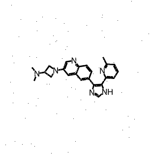 Cc1cccc(-c2[nH]cnc2-c2ccc3ncc(N4CC(N(C)C)C4)cc3c2)n1